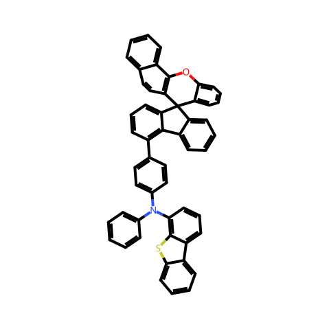 c1ccc(N(c2ccc(-c3cccc4c3-c3ccccc3C43c4ccccc4Oc4c3ccc3ccccc43)cc2)c2cccc3c2sc2ccccc23)cc1